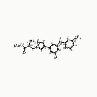 COC(=O)[C@@H](N)Cn1cc(-c2cc(C)cc(Nc3nccc(C(F)(F)F)n3)c2)cn1